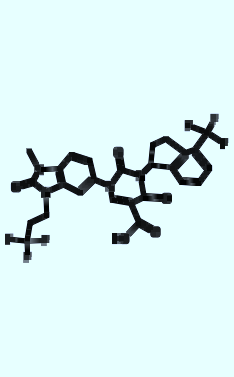 Cn1c(=O)n(CCC(F)(F)F)c2cc(-n3cc(C(=O)O)c(=O)n(C4CCc5c4cccc5C(F)(F)F)c3=O)ccc21